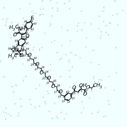 CCOC(=O)/C(O)=C/C(=O)c1cccc(COCCOCCOCCOCCOCCCOCCN(c2cc3oc(-c4ccc(F)cc4)c(C(=O)NC)c3cc2C2CC2)S(C)(=O)=O)c1